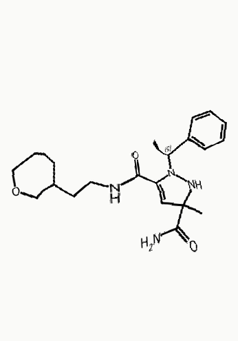 C[C@@H](c1ccccc1)N1NC(C)(C(N)=O)C=C1C(=O)NCCC1CCCOC1